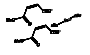 CCC[CH2][Sn+2][CH2]CCC.COC(=O)/C=C\C(=O)[O-].COC(=O)/C=C\C(=O)[O-]